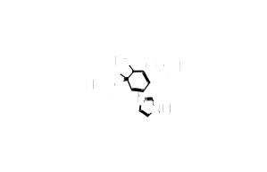 CCC1C(C(=O)O)=CC=CC1(C)C(=O)O.c1c[nH]cn1